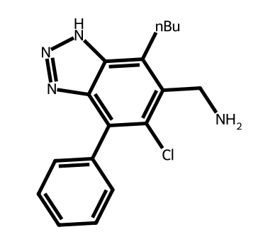 CCCCc1c(CN)c(Cl)c(-c2ccccc2)c2nn[nH]c12